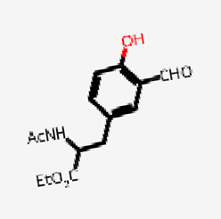 CCOC(=O)C(Cc1ccc(O)c(C=O)c1)NC(C)=O